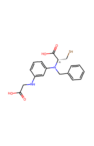 O=C(O)CNc1cccc(N(Cc2ccccc2)[C@@H](CS)C(=O)O)c1